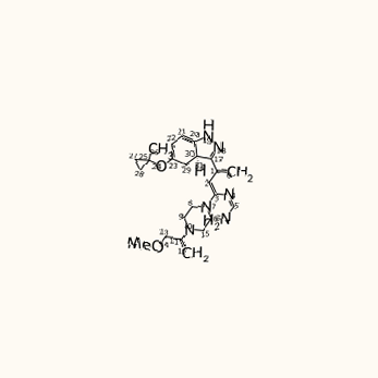 C=C(/C=C(\N=C/N)N1CCN(C(=C)COC)CC1)C1=NNC2=CC=C(OC3(C)CC3)C[C@@H]21